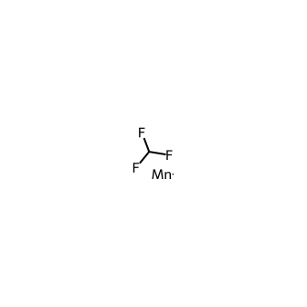 FC(F)F.[Mn]